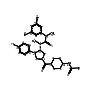 CN(C(=O)N(C)[C@@H]1CN(C(=O)C2CCC(NC(=O)O)CC2)C[C@H]1c1ccc(F)cc1)c1cc(Br)cc(Br)c1